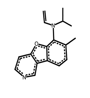 C=CN(c1c(C)ccc2c1oc1ccncc12)C(C)C